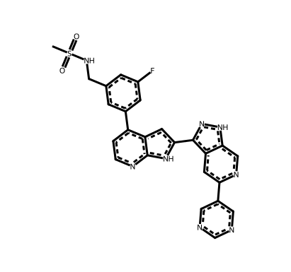 CS(=O)(=O)NCc1cc(F)cc(-c2ccnc3[nH]c(-c4n[nH]c5cnc(-c6cncnc6)cc45)cc23)c1